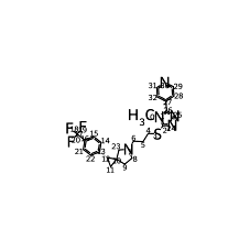 Cn1c(SCCCN2CCC3(C[C@@H]3c3ccc(C(F)(F)F)cc3)C2)nnc1-c1ccncc1